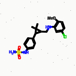 COc1ccc(Cl)cc1NCC1C(c2ccc(NS(N)(=O)=O)cc2)C1(C)C